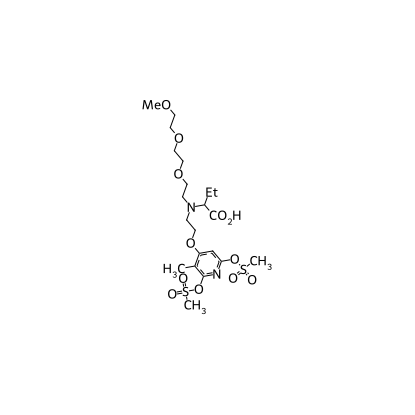 CCC(C(=O)O)N(CCOCCOCCOC)CCOc1cc(OS(C)(=O)=O)nc(OS(C)(=O)=O)c1C